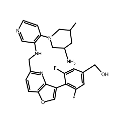 CC1CC(N)CN(c2ccncc2NCc2ccc3occ(-c4c(F)cc(CO)cc4F)c3n2)C1